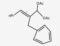 CCC/C=C(\Cc1ccccc1)C(OC(C)=O)OC(C)=O